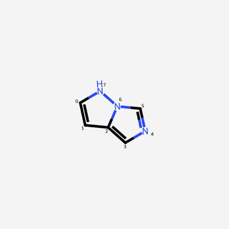 c1cc2cncn2[nH]1